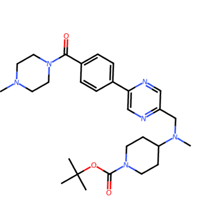 CN1CCN(C(=O)c2ccc(-c3cnc(CN(C)C4CCN(C(=O)OC(C)(C)C)CC4)cn3)cc2)CC1